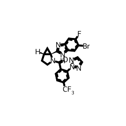 O=C(c1ccc(C(F)(F)F)cc1-n1nccn1)N1CC[C@@H]2C[C@@]21c1nc2cc(F)c(Br)cc2[nH]1